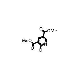 COC(=O)c1cnc(Cl)c(C(=O)OC)c1